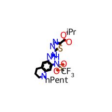 CCCCCN1CCCc2cc(N=Nc3nnc(C(=O)OC(C)C)s3)c(NS(=O)(=O)C(F)(F)F)cc21